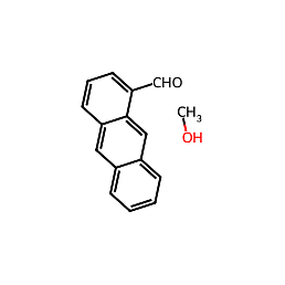 CO.O=Cc1cccc2cc3ccccc3cc12